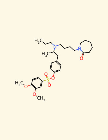 CCCN(CCCCN1CCCCCC1=O)C(C)Cc1ccc(OS(=O)(=O)c2ccc(OC)c(OC)c2)cc1